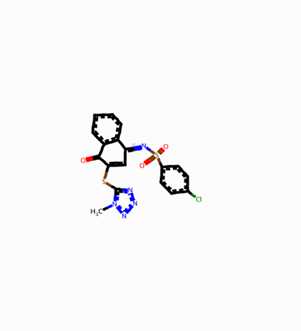 Cn1nnnc1SC1=C/C(=N\S(=O)(=O)c2ccc(Cl)cc2)c2ccccc2C1=O